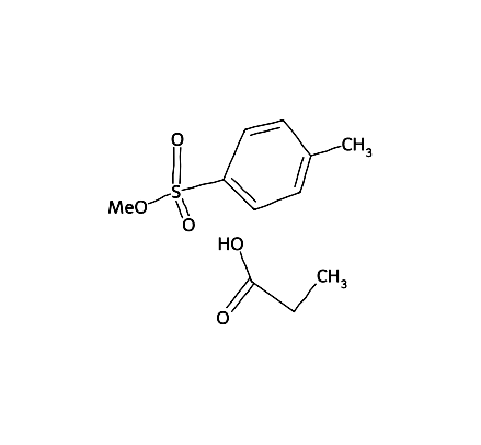 CCC(=O)O.COS(=O)(=O)c1ccc(C)cc1